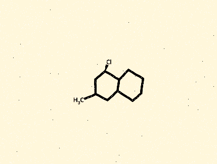 CC1CC2CCCCC2[C@H](Cl)C1